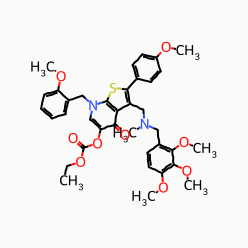 CCOC(=O)Oc1cn(Cc2ccccc2OC)c2sc(-c3ccc(OC)cc3)c(CN(C)Cc3ccc(OC)c(OC)c3OC)c2c1=O